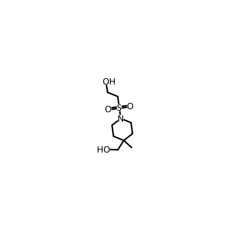 CC1(CO)CCN(S(=O)(=O)CCO)CC1